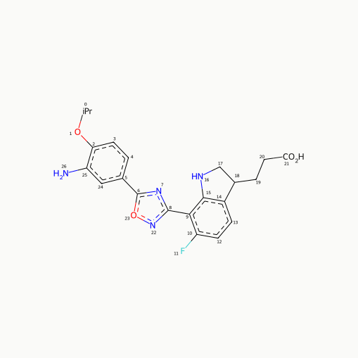 CC(C)Oc1ccc(-c2nc(-c3c(F)ccc4c3NCC4CCC(=O)O)no2)cc1N